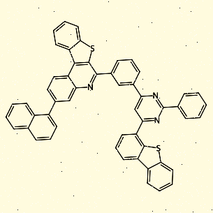 c1ccc(-c2nc(-c3cccc(-c4nc5cc(-c6cccc7ccccc67)ccc5c5c4sc4ccccc45)c3)cc(-c3cccc4c3sc3ccccc34)n2)cc1